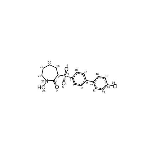 O=C1C(S(=O)(=O)c2ccc(-c3ccc(Cl)cc3)cc2)CCCCN1O